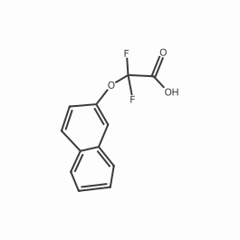 O=C(O)C(F)(F)Oc1ccc2ccccc2c1